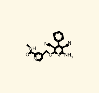 CNC(=O)c1cc(COc2nc(N)c(C#N)c(-c3ccccc3)c2C#N)ccn1